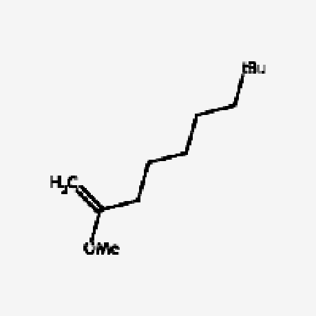 C=C(CCCCCC(C)(C)C)OC